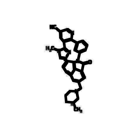 C[C@H]1CCCN(Cc2cc3c4c(cccc4c2)N(c2cccc(-c4ncc(C#N)cc4-c4nncn4C)c2)C3=O)C1